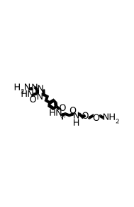 C[C@H](CCC(=O)NCCOCCOCCN)NC(=O)c1ccc(CCc2cnc3nc(N)[nH]c(=O)c3n2)cc1